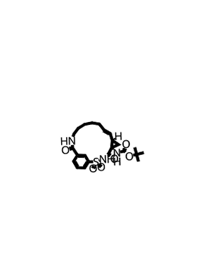 CC(C)(C)OC(=O)N[C@]12C[C@H]1/C=C/CCCCCNC(=O)c1cccc(c1)S(=O)(=O)NC2=O